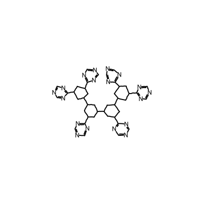 c1ncnc(C2CC(c3ncncn3)CC(C3CC(c4ncncn4)CC(C4CC(c5ncncn5)CC(C5CC(c6ncncn6)CC(c6ncncn6)C5)C4)C3)C2)n1